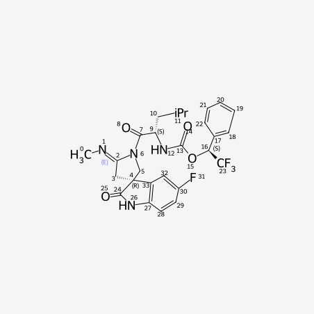 C/N=C1\C[C@@]2(CN1C(=O)[C@H](CC(C)C)NC(=O)O[C@@H](c1ccccc1)C(F)(F)F)C(=O)Nc1ccc(F)cc12